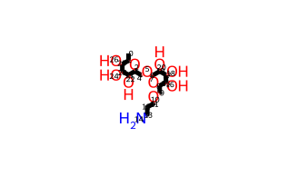 CC1OC(COC2OC(COCCCN)C(O)C(O)C2O)C(O)C(O)C1O